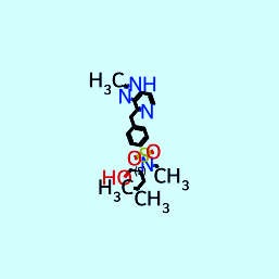 CCN([C@H](CO)CC(C)C)S(=O)(=O)c1ccc(Cc2nccc3[nH]c(C)nc23)cc1